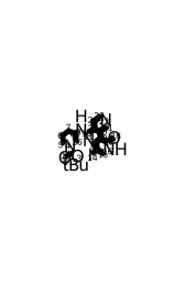 CC(C)(C)OC(=O)N1CCC[C@H](Nc2nc3c(I)c[nH]c(=O)c3c3cnccc23)C1